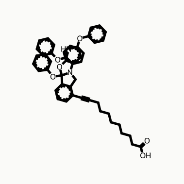 O=C(O)CCCCCCCCC#Cc1cccc2c1CN(C1CCC(Oc3ccccc3)NC1Oc1ccccc1)C2(Oc1ccccc1)Oc1ccccc1